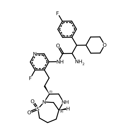 NC(C(=O)Nc1cncc(F)c1CC[C@H]1CN[C@@H]2CCCS(=O)(=O)N1C2)C(c1ccc(F)cc1)C1CCOCC1